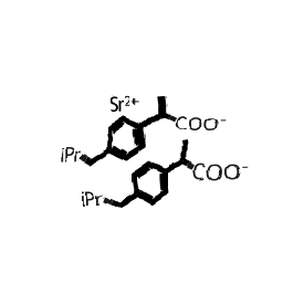 CC(C)Cc1ccc(C(C)C(=O)[O-])cc1.CC(C)Cc1ccc(C(C)C(=O)[O-])cc1.[Sr+2]